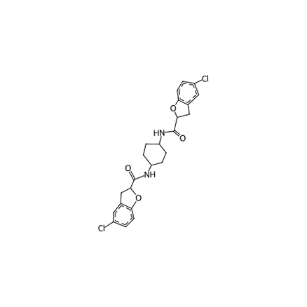 O=C(NC1CCC(NC(=O)C2Cc3cc(Cl)ccc3O2)CC1)C1Cc2cc(Cl)ccc2O1